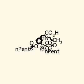 CCCCCOC(=O)Oc1ccc(C[C@H](NCC(C)OC(=O)OCC(C)C)C(=O)O)cc1OC(=O)OCCCCC